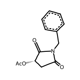 CC(=O)O[C@H]1CC(=O)N(Cc2ccccc2)C1=O